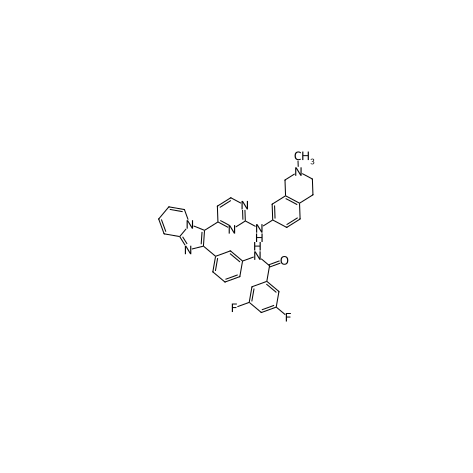 CN1CCc2ccc(Nc3nccc(-c4c(-c5cccc(NC(=O)c6cc(F)cc(F)c6)c5)nc5ccccn45)n3)cc2C1